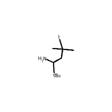 CC(C)(I)CC(N)C(C)(C)C